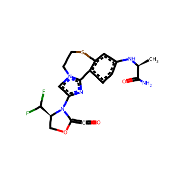 C[C@H](Nc1ccc2c(c1)SCCn1cc(N3C(=C=O)OC[C@H]3C(F)F)nc1-2)C(N)=O